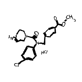 COC(=O)c1ccc(CN(C(=O)N2CCNCC2)c2ccc(Cl)cc2)cc1.Cl